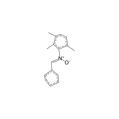 Cc1ccc(C)c([N+]([O-])=Cc2ccccc2)c1C